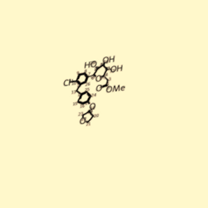 COC(=O)C[C@H]1O[C@@H](c2ccc(Cl)c(Cc3ccc(O[C@H]4CCOC4)cc3)c2)[C@H](O)[C@H](O)[C@@H]1O